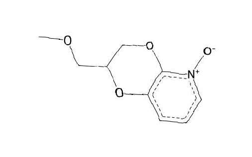 COCC1COc2c(ccc[n+]2[O-])O1